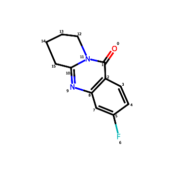 O=c1c2ccc(F)cc2nc2n1CCCC2